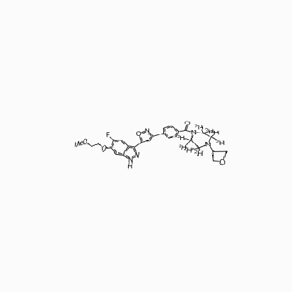 [2H]C1([2H])N(C(=O)c2ccc(-c3cc(-c4n[nH]c5cc(OCCOC)c(F)cc45)on3)cc2)C([2H])([2H])C([2H])([2H])N(C2COC2)C1([2H])[2H]